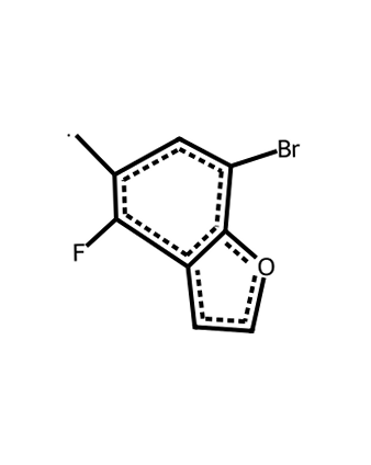 [CH2]c1cc(Br)c2occc2c1F